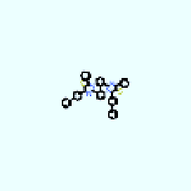 c1ccc(-c2ccc(-c3nc(-c4ccccc4-c4ccccc4-c4nc(-c5ccc(-c6ccccc6)cc5)c5sc6ccccc6c5n4)nc4c3sc3ccccc34)cc2)cc1